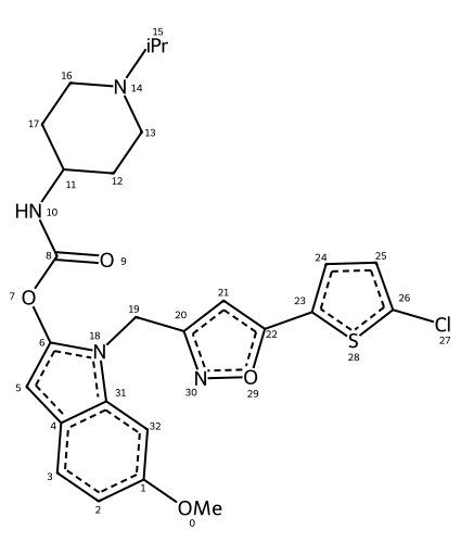 COc1ccc2cc(OC(=O)NC3CCN(C(C)C)CC3)n(Cc3cc(-c4ccc(Cl)s4)on3)c2c1